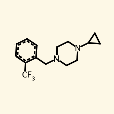 FC(F)(F)c1c[c]ccc1CN1CCN(C2CC2)CC1